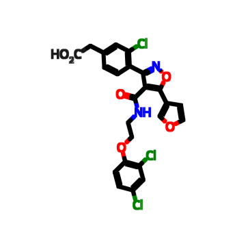 O=C(O)Cc1ccc(-c2noc(-c3ccoc3)c2C(=O)NCCOc2ccc(Cl)cc2Cl)c(Cl)c1